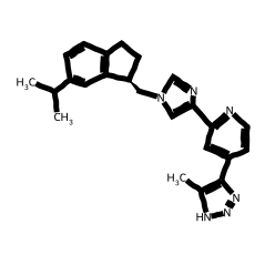 Cc1[nH]nnc1-c1ccnc(-c2cn(C[C@@H]3CCc4ccc(C(C)C)cc43)cn2)c1